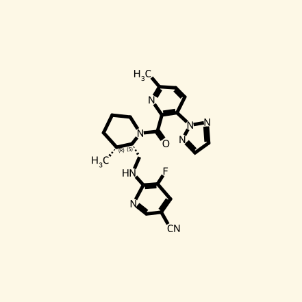 Cc1ccc(-n2nccn2)c(C(=O)N2CCC[C@@H](C)[C@H]2CNc2ncc(C#N)cc2F)n1